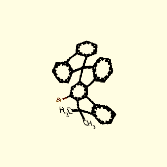 CC1(C)c2ccccc2-c2c3c(cc(Br)c21)C1(c2ccccc2-c2ccccc21)c1ccccc1-3